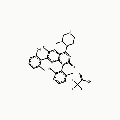 Cc1ccnc(C(C)C)c1-n1c(=O)nc(N2CCNC[C@@H]2C)c2cc(F)c(-c3c(O)cccc3F)nc21.O=C(O)C(F)(F)F